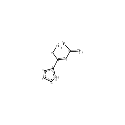 C=C(F)/C=C(\CC)c1ccc[nH]1